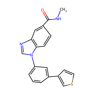 CNC(=O)c1ccc2c(c1)ncn2-c1cccc(-c2ccsc2)c1